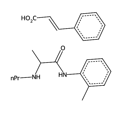 CCCNC(C)C(=O)Nc1ccccc1C.O=C(O)C=Cc1ccccc1